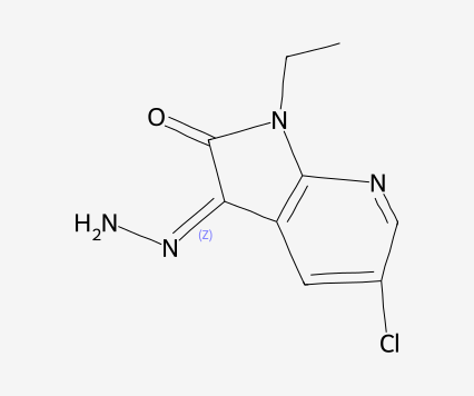 CCN1C(=O)/C(=N\N)c2cc(Cl)cnc21